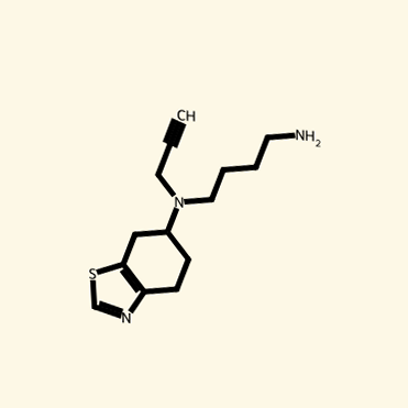 C#CCN(CCCCN)C1CCc2ncsc2C1